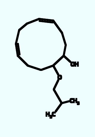 CC(C)COC1CC/C=C\CC/C=C\CCC1O